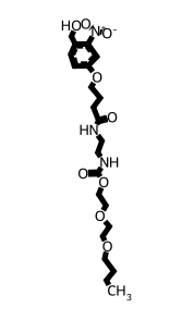 CCCCOCCOCCOC(=O)NCCNC(=O)CCCOc1ccc(CO)c([N+](=O)[O-])c1